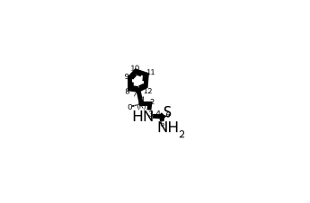 C[C@@H](CNC(N)=S)c1ccccc1